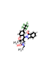 CCN(O)CC1=C(N2Cc3ccccc3C2=O)c2cc(C(F)(F)C(F)(F)F)ccc2OC1(C)C